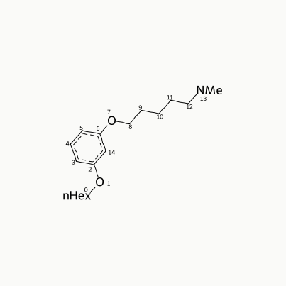 CCCCCCOc1cccc(OCCCCCNC)c1